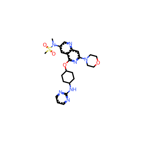 CN(c1cnc2cc(N3CCOCC3)nc(OC3CCC(Nc4ncccn4)CC3)c2c1)S(C)(=O)=O